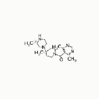 Cc1ncnc(C)c1C(=O)N1CCC(C)(N2CCN[C@@H](C)C2)CC1